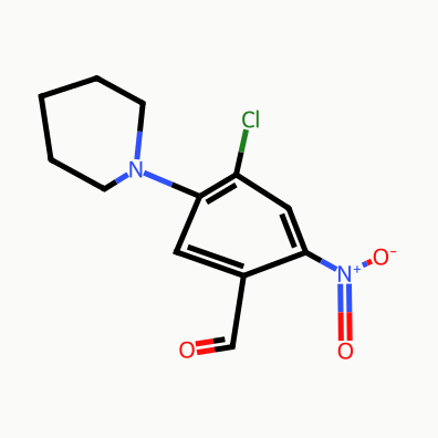 O=Cc1cc(N2CCCCC2)c(Cl)cc1[N+](=O)[O-]